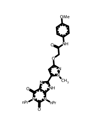 CCCn1c(=O)c2nc(-c3cc(OCC(=O)Nc4ccc(OC)cc4)nn3C)[nH]c2n(CCC)c1=O